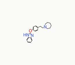 c1ccc2[nH]c(Oc3ccc(CCN4CCCCCC4)cc3)nc2c1